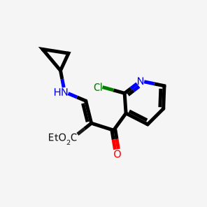 CCOC(=O)C(=CNC1CC1)C(=O)c1cccnc1Cl